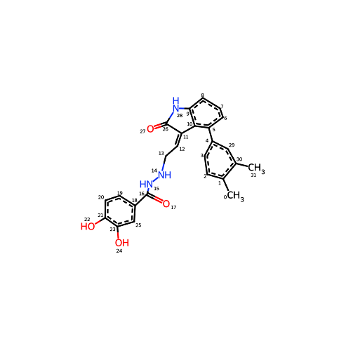 Cc1ccc(-c2cccc3c2C(=CCNNC(=O)c2ccc(O)c(O)c2)C(=O)N3)cc1C